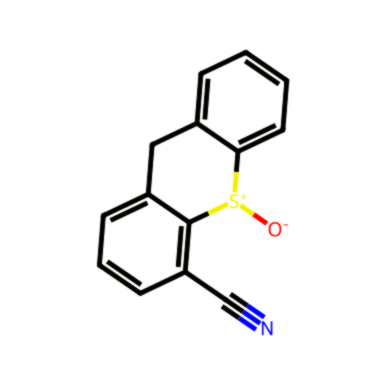 N#Cc1cccc2c1[S+]([O-])c1ccccc1C2